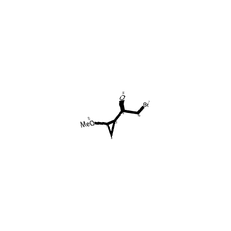 COC1CC1C(=O)CBr